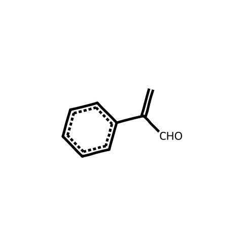 C=C(C=O)c1ccccc1